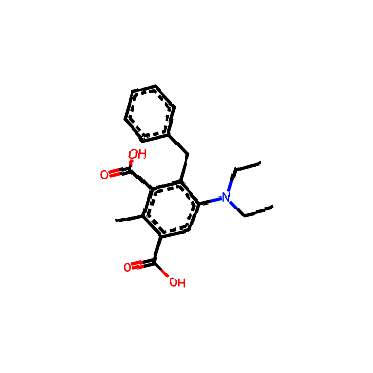 CCN(CC)c1cc(C(=O)O)c(C)c(C(=O)O)c1Cc1ccccc1